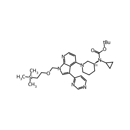 CC(C)(C)OC(=O)N(C1CC1)[C@H]1CCCN(c2ccnc3c2c(-c2ccncn2)cn3COCC[Si](C)(C)C)C1